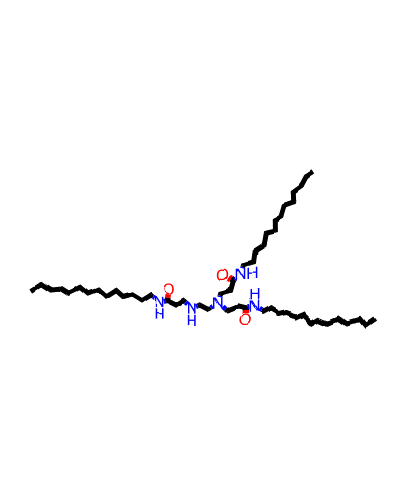 CCCCCCCCCCCCCCNC(=O)CCNCCN(CCC(=O)NCCCCCCCCCCCCCC)CCC(=O)NCCCCCCCCCCCCCC